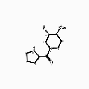 CO[C@H]1CCN(C(=O)C2CCCN2)C[C@H]1F